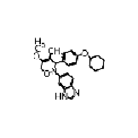 COC1=C(C)C(c2ccc(OC3CCCCC3)cc2)N(c2ccc3nc[nH]c3c2)OC1